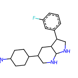 CN(C)C1CCC(C2CNC3NCC(c4cccc(F)c4)C3C2)CC1